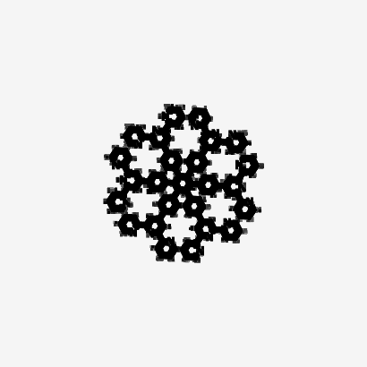 c1ccc(-c2cc(-c3ccc(-c4c(-c5ccc(-c6cc(-c7ccccn7)nc(-c7ccccn7)c6)cc5)c(-c5ccc(-c6cc(-c7ccccn7)nc(-c7ccccn7)c6)cc5)c(-c5ccc(-c6cc(-c7ccccn7)nc(-c7ccccn7)c6)cc5)c(-c5ccc(-c6cc(-c7ccccn7)nc(-c7ccccn7)c6)cc5)c4-c4ccc(-c5cc(-c6ccccn6)nc(-c6ccccn6)c5)cc4)cc3)cc(-c3ccccn3)n2)nc1